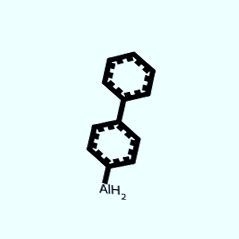 [AlH2][c]1ccc(-c2ccccc2)cc1